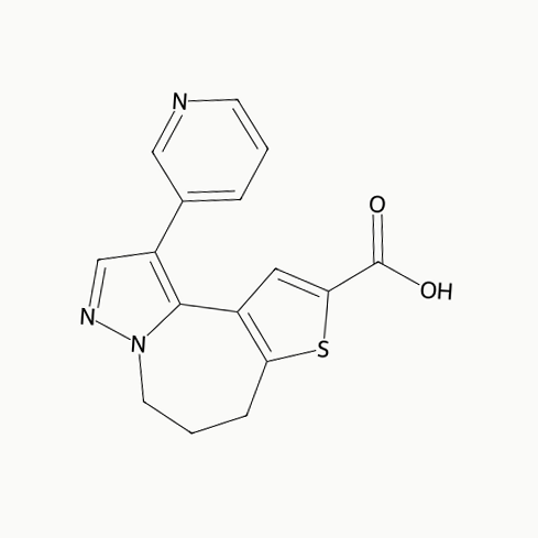 O=C(O)c1cc2c(s1)CCCn1ncc(-c3cccnc3)c1-2